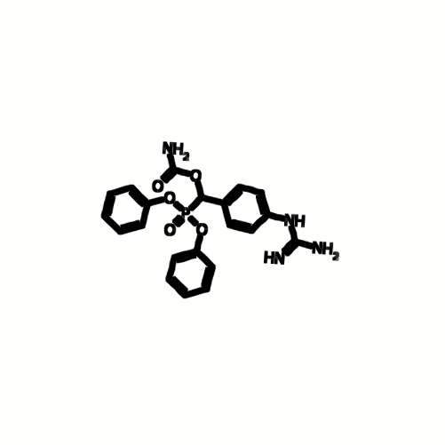 N=C(N)Nc1ccc(C(OC(N)=O)P(=O)(Oc2ccccc2)Oc2ccccc2)cc1